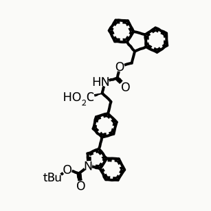 CC(C)(C)OC(=O)n1cc(-c2ccc(C[C@H](NC(=O)OCC3c4ccccc4-c4ccccc43)C(=O)O)cc2)c2ccccc21